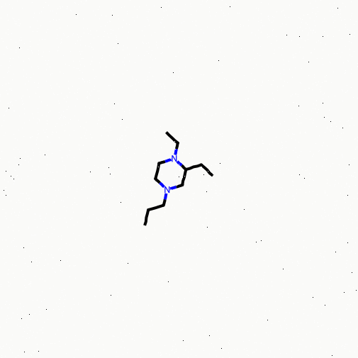 CCCN1CCN(CC)C(CC)C1